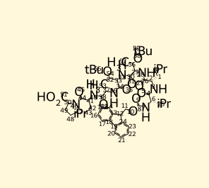 CC(C)C[C@H](NC(=O)[C@@H](NC(=O)OCC1c2ccccc2-c2ccccc21)C(C)C)C(=O)N[C@H](C(=O)N[C@H](C(=O)NCC(=O)N[C@@H](CC(C)C)C(=O)N1CCC[C@H]1C(=O)O)[C@@H](C)OC(C)(C)C)[C@@H](C)OC(C)(C)C